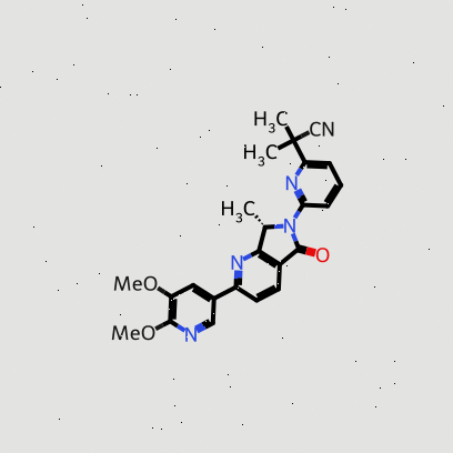 COc1cc(-c2ccc3c(n2)[C@H](C)N(c2cccc(C(C)(C)C#N)n2)C3=O)cnc1OC